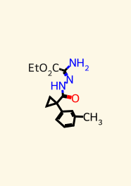 CCOC(=O)/C(N)=N\NC(=O)C1(c2cccc(C)c2)CC1